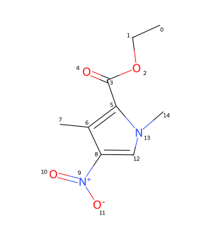 CCOC(=O)c1c(C)c([N+](=O)[O-])cn1C